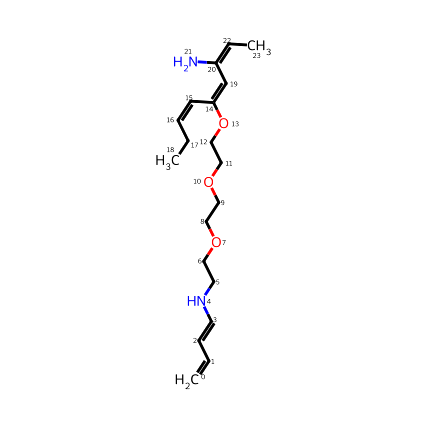 C=C/C=C/NCCOCCOCCOC(/C=C\CC)=C/C(N)=C\C